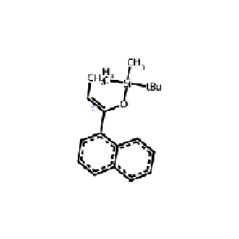 C/C=C(\O[Si](C)(C)C(C)(C)C)c1cccc2ccccc12